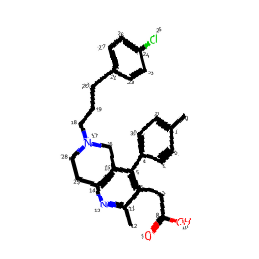 Cc1ccc(-c2c(CC(=O)O)c(C)nc3c2CN(CCCc2ccc(Cl)cc2)CC3)cc1